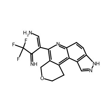 N=C(/C(=C\N)c1nc2ccc3[nH]ncc3c2c2c1COCC2)C(F)(F)F